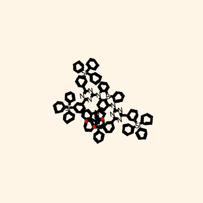 c1ccc([Si](c2ccccc2)(c2ccccc2)c2cccc(-c3nc(-c4cccc([Si](c5ccccc5)(c5ccccc5)c5ccccc5)c4)nc(N4c5ccccc5B5c6ccccc6N(c6nc(-c7cccc([Si](c8ccccc8)(c8ccccc8)c8ccccc8)c7)nc(-c7cccc([Si](c8ccccc8)(c8ccccc8)c8ccccc8)c7)n6)c6cc(-n7c8ccccc8c8ccccc87)cc4c65)n3)c2)cc1